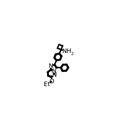 CCOc1ccc2nc(-c3ccc(C4(N)CCC4)cc3)c(-c3ccccc3)n2n1